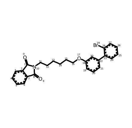 O=C1c2ccccc2C(=O)N1CCCCCCOc1cccc(-c2ccccc2Br)c1